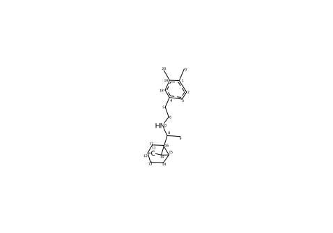 Cc1ccc(CCNC(C)C2CC3CCC2CC3)cc1C